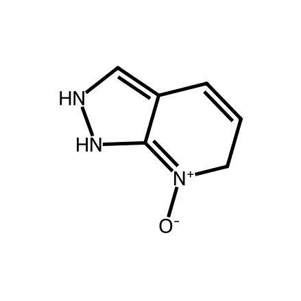 [O-][N+]1=C2NNC=C2C=CC1